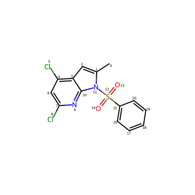 Cc1cc2c(Cl)cc(Cl)nc2n1S(=O)(=O)c1ccccc1